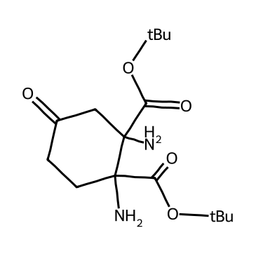 CC(C)(C)OC(=O)C1(N)CCC(=O)CC1(N)C(=O)OC(C)(C)C